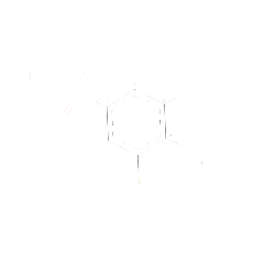 CS(=O)(=O)c1cc(F)c(C(=O)O)c(F)c1